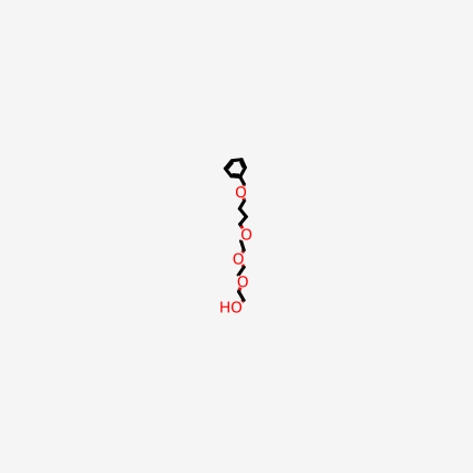 OCCOCCOCCOCCCCOCc1ccccc1